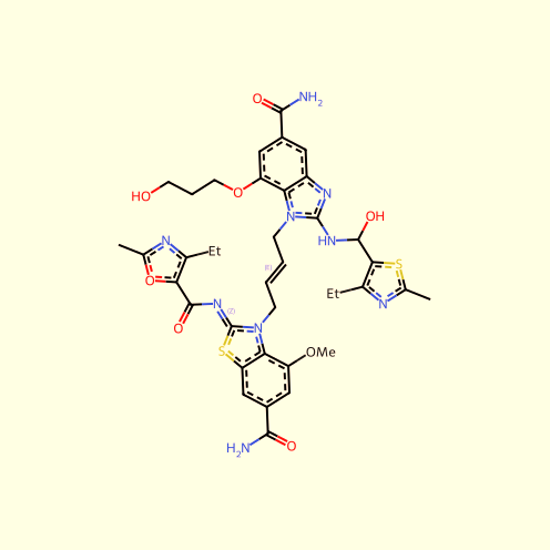 CCc1nc(C)oc1C(=O)/N=c1\sc2cc(C(N)=O)cc(OC)c2n1C/C=C/Cn1c(NC(O)c2sc(C)nc2CC)nc2cc(C(N)=O)cc(OCCCO)c21